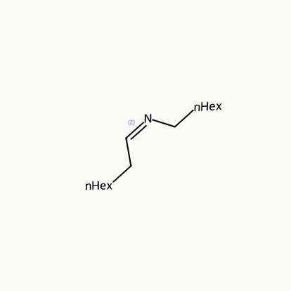 CCCCCCC/C=N\CCCCCCC